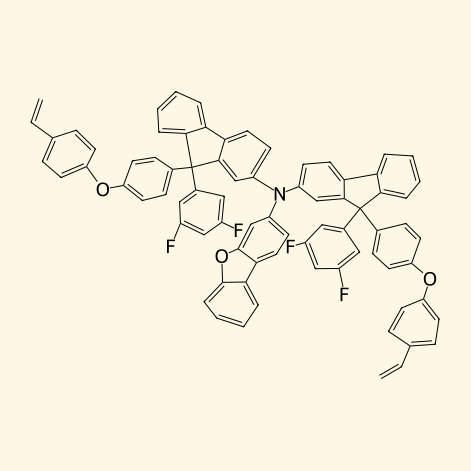 C=Cc1ccc(Oc2ccc(C3(c4cc(F)cc(F)c4)c4ccccc4-c4ccc(N(c5ccc6c(c5)C(c5ccc(Oc7ccc(C=C)cc7)cc5)(c5cc(F)cc(F)c5)c5ccccc5-6)c5ccc6c(c5)oc5ccccc56)cc43)cc2)cc1